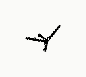 CCCCCCCCCCCCOCC(CCCCCCCOCCCCCC)(COCCCN(C)C)COCCCN(C)C